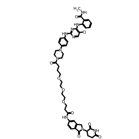 CNC(=O)c1ccccc1Nc1nc(Nc2ccc(N3CCN(C(=O)CCCOCCOCCOCCC(=O)Nc4ccc5c(c4)CN(C4CCC(=O)NC4=O)C5=O)CC3)cc2)ncc1Cl